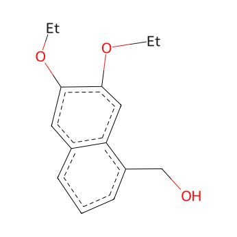 CCOc1cc2cccc(CO)c2cc1OCC